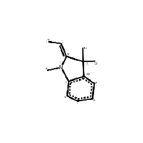 [CH]/C=C1\N(C)c2ccccc2C1(C)C